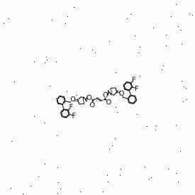 O=C(/C=C/C(=O)ON1CC[C@H](OCc2ccccc2-c2cccc(F)c2F)C1)ON1CC[C@H](OCc2ccccc2-c2cccc(F)c2F)C1